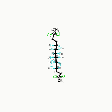 C[Si](Cl)(Cl)CCC(F)(F)C(F)(F)C(F)(F)C(F)(F)C(F)(F)C(F)(F)CC[Si](C)(Cl)Cl